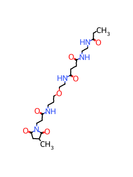 CCC(=O)NCCNC(=O)CCC(=O)NCCOCCCNC(=O)CCN1C(=O)CC(C)C1=O